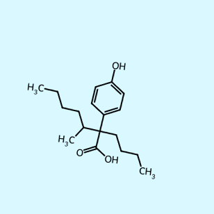 CCCCC(C)C(CCCC)(C(=O)O)c1ccc(O)cc1